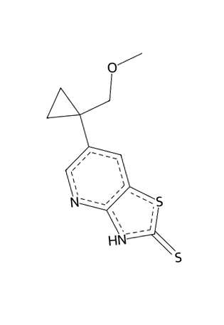 COCC1(c2cnc3[nH]c(=S)sc3c2)CC1